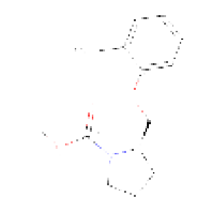 COc1ccccc1OC[C@H]1CCCN1C(=O)OC(C)(C)C